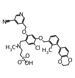 Cc1c(COc2cc(OCc3cncc(C#N)c3)c(CN(C)CCS(=O)(=O)O)cc2Cl)cccc1-c1ccc2c(c1)OCCO2